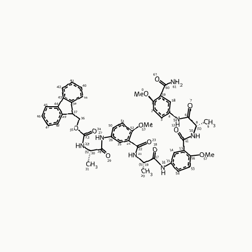 COc1ccc(NC(=O)[C@H](C)NC(=O)c2cc(NC(=O)[C@H](C)NC(=O)c3cc(NC(=O)[C@H](C)NC(=O)OCC4c5ccccc5-c5ccccc54)ccc3OC)ccc2OC)cc1C(N)=O